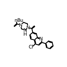 C=C(CCCC)N1CCN(C(=C)c2ccc3c(Cl)cc(-c4ccccc4)nc3c2)NC1